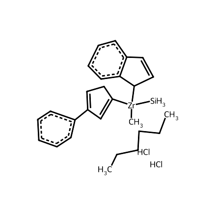 CCCCCC.Cl.Cl.[CH3][Zr]([SiH3])([C]1=CC(c2ccccc2)=CC1)[CH]1C=Cc2ccccc21